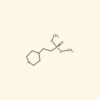 COP(=O)(CCN1CC[N]CC1)OC